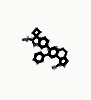 Cn1ncc2c1-c1cc(-c3ccccc3)c(-c3ccc(C4(N(C(=O)O)C(C)(C)C)CCC4)cc3)nc1CC2